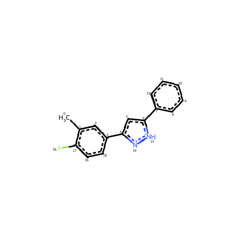 Cc1cc(-c2cc(-c3ccccc3)[nH]n2)ccc1F